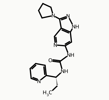 CC[C@@H](NC(=O)Nc1cc2[nH]nc(N3CCCC3)c2cn1)c1ccccn1